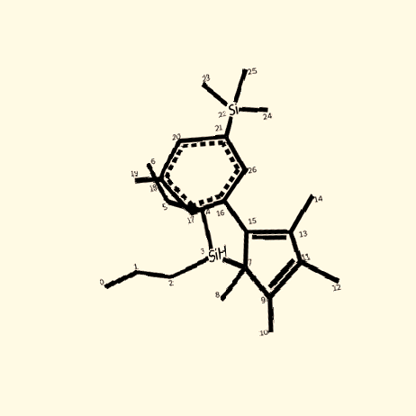 CCC[SiH](CCC)C1(C)C(C)=C(C)C(C)=C1c1cc(C)cc([Si](C)(C)C)c1